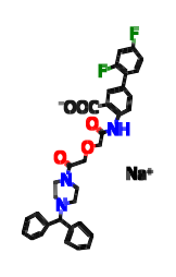 O=C(COCC(=O)N1CCN(C(c2ccccc2)c2ccccc2)CC1)Nc1ccc(-c2ccc(F)cc2F)cc1C(=O)[O-].[Na+]